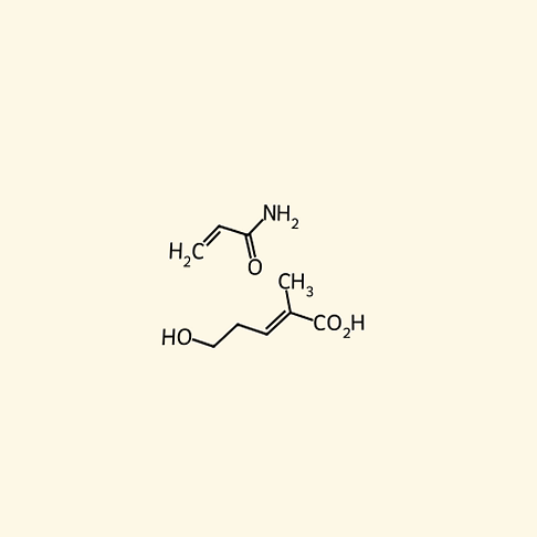 C=CC(N)=O.CC(=CCCO)C(=O)O